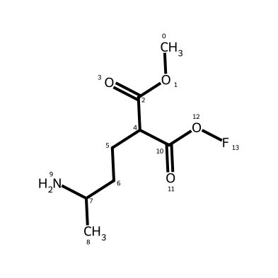 COC(=O)C(CCC(C)N)C(=O)OF